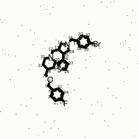 Fc1ccc(COCC2CCN(CC3CN(Cc4ccc(Br)cc4)CC3c3ccsc3)CC2)cc1